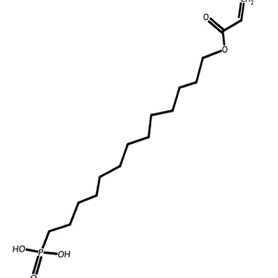 C=CC(=O)OCCCCCCCCCCCCCP(=O)(O)O